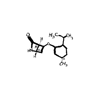 CC(C)C1CC[C@H](C)CC1OC1=C[C@@H]2NC(=O)[C@@H]12